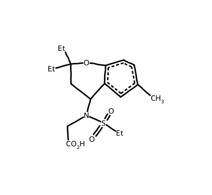 CCC1(CC)CC(N(CC(=O)O)S(=O)(=O)CC)c2cc(C)ccc2O1